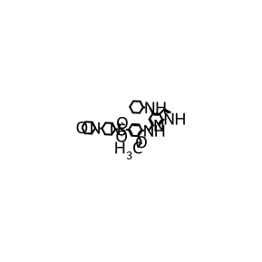 COc1cc(S(=O)(=O)N2CCC(N3CCOCC3)CC2)ccc1Nc1cc(NC2CCCCC2)c2cc[nH]c2n1